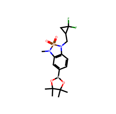 CN1c2cc(B3OC(C)(C)C(C)(C)O3)ccc2N(CC2CC2(F)F)S1(=O)=O